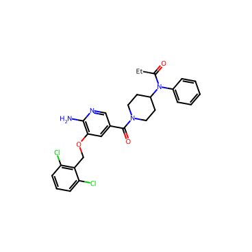 CCC(=O)N(c1ccccc1)C1CCN(C(=O)c2cnc(N)c(OCc3c(Cl)cccc3Cl)c2)CC1